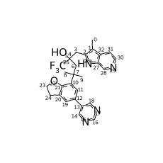 Cc1c(CC(O)(CC(C)(C)c2cc(-c3cncnc3)cc3c2OCC3)C(F)(F)F)[nH]c2cnccc12